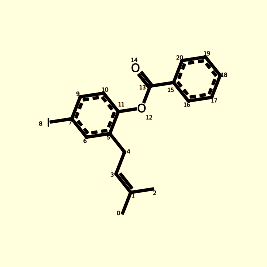 CC(C)=CCc1cc(I)ccc1OC(=O)c1ccccc1